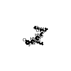 CC(C)CCCNc1nnc(-c2cc(Cl)ccc2F)cc1Nc1ccnc(NC(=O)CCN(CC(C)C)CC(C)NC(=O)OC(C)(C)C)c1